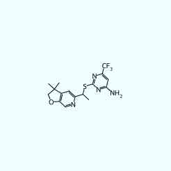 CC(Sc1nc(N)cc(C(F)(F)F)n1)c1cc2c(cn1)OCC2(C)C